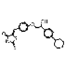 O=C1NC(=S)S/C1=C\c1ccc(OCC(O)c2ccc(C3CCCCC3)cc2)cc1